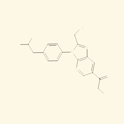 CCC(=O)c1cnc2c(c1)nc(CC)n2-c1ccc(CC(C)O)cc1